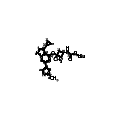 Cn1cc(-c2cn3ncc(C4CC4)c3c(O[C@]3(C)C[C@H](NC(=O)OC(C)(C)C)C3)n2)cn1